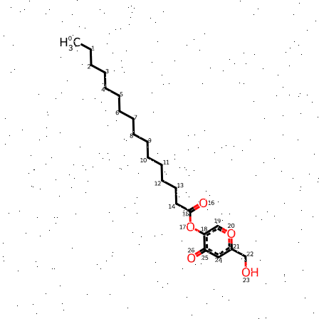 CCCCCCCCCCCCCCCC(=O)Oc1coc(CO)cc1=O